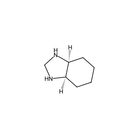 C1CC[C@H]2NCN[C@H]2C1